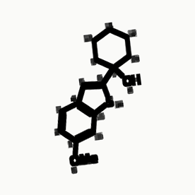 COc1ccc2cc(C3(O)CCCCC3)sc2c1